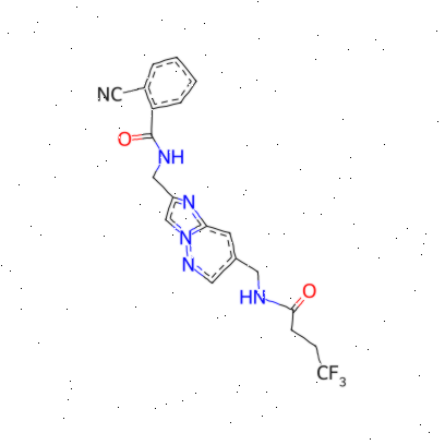 N#Cc1ccccc1C(=O)NCc1cn2ncc(CNC(=O)CCC(F)(F)F)cc2n1